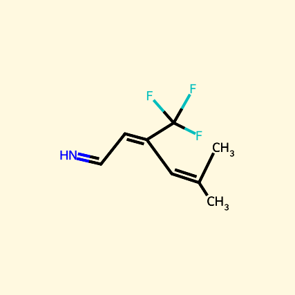 CC(C)=C/C(=C\C=N)C(F)(F)F